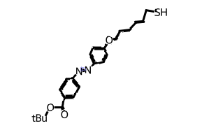 CC(C)(C)OC(=O)c1ccc(/N=N/c2ccc(OCCCCCCS)cc2)cc1